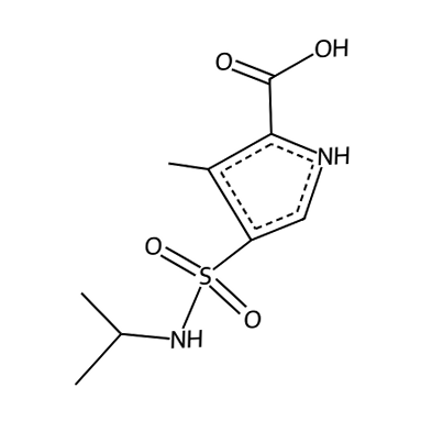 Cc1c(S(=O)(=O)NC(C)C)c[nH]c1C(=O)O